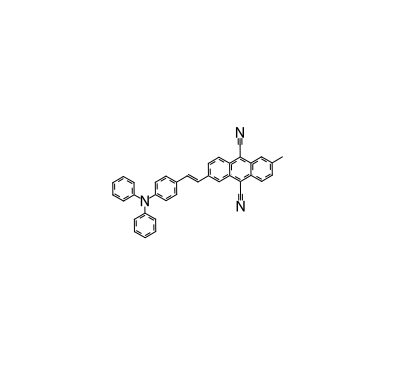 Cc1ccc2c(C#N)c3cc(C=Cc4ccc(N(c5ccccc5)c5ccccc5)cc4)ccc3c(C#N)c2c1